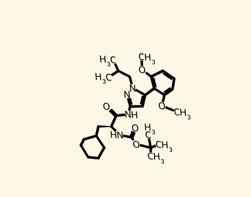 COc1cccc(OC)c1-c1cc(NC(=O)[C@H](CC2CCCCC2)NC(=O)OC(C)(C)C)nn1CC(C)C